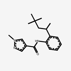 CC(CC(C)(C)C)c1ccccc1NC(=O)c1cnn(C)c1